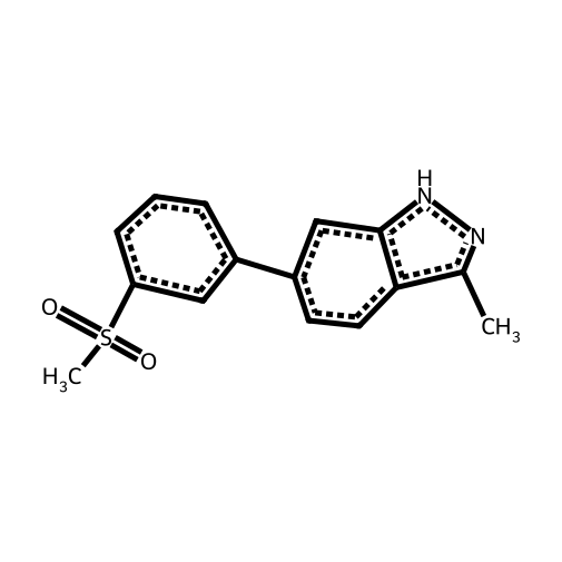 Cc1n[nH]c2cc(-c3cccc(S(C)(=O)=O)c3)ccc12